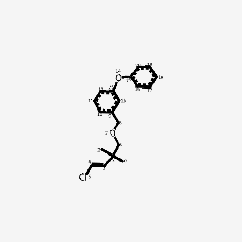 CC(C)(C=CCl)COCc1cccc(Oc2ccccc2)c1